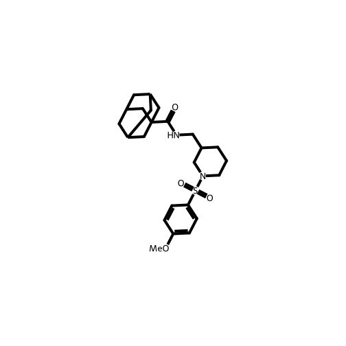 COc1ccc(S(=O)(=O)N2CCCC(CNC(=O)C34CC5CC(CC(C5)C3)C4)C2)cc1